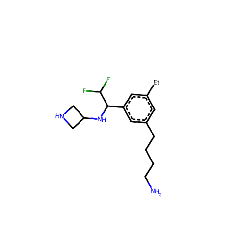 CCc1cc(CCCCN)cc(C(NC2CNC2)C(F)F)c1